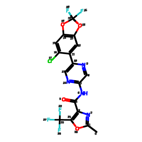 Cc1nc(C(=O)Nc2cnc(-c3cc4c(cc3Cl)OC(F)(F)O4)cn2)c(C(F)(F)F)o1